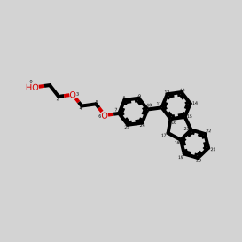 OCCOCCOc1ccc(-c2cccc3c2Cc2ccccc2-3)cc1